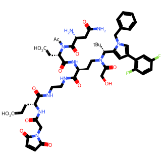 CC(=O)N(C(=O)[C@H](N)CC(N)=O)[C@@H](CC(=O)O)C(=O)N[C@@H](CCN(C(=O)CO)[C@@H](c1cc(-c2cc(F)ccc2F)cn1Cc1ccccc1)C(C)(C)C)C(=O)NCCNC(=O)[C@@H](CCC(=O)O)NC(=O)CN1C(=O)C=CC1=O